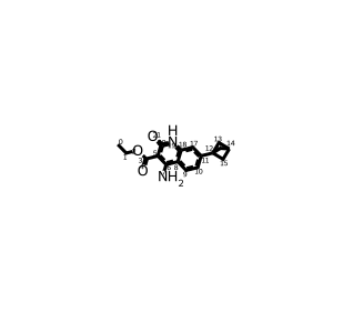 CCOC(=O)c1c(N)c2ccc(C34CC(C3)C4)cc2[nH]c1=O